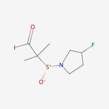 CC(C)(C(=O)I)[S@@+]([O-])N1CCC(F)C1